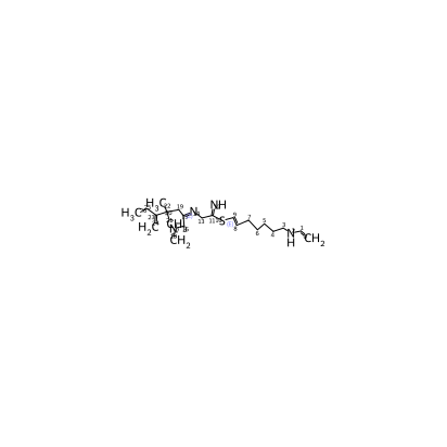 C=CNCCCCC/C=C/SC(=N)C/N=C(\CN=C)CC(C)(C)C(=C)CC